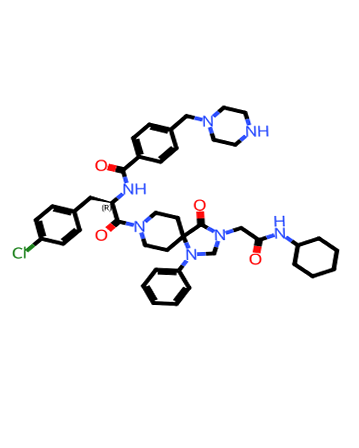 O=C(CN1CN(c2ccccc2)C2(CCN(C(=O)[C@@H](Cc3ccc(Cl)cc3)NC(=O)c3ccc(CN4CCNCC4)cc3)CC2)C1=O)NC1CCCCC1